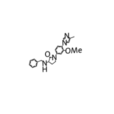 COc1cc(N2CCC(NCc3ccccc3)C2=O)ccc1-n1cnc(C)c1